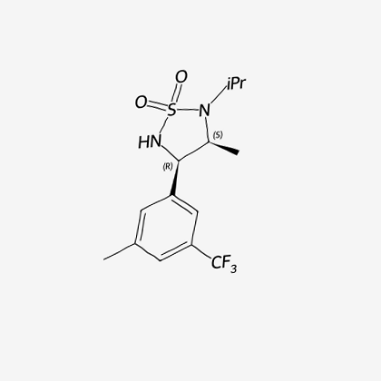 Cc1cc([C@H]2NS(=O)(=O)N(C(C)C)[C@H]2C)cc(C(F)(F)F)c1